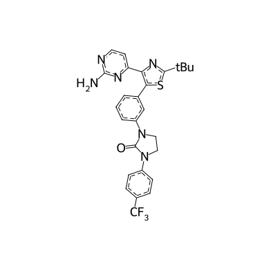 CC(C)(C)c1nc(-c2ccnc(N)n2)c(-c2cccc(N3CCN(c4ccc(C(F)(F)F)cc4)C3=O)c2)s1